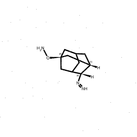 N=N[C@@H]1C2CC3C[C@H]1C[C@@](ON)(C3)C2